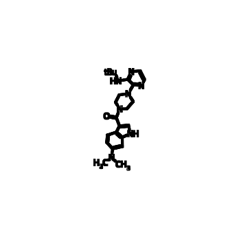 CN(C)c1ccc2c(C(=O)N3CCN(c4nccnc4NC(C)(C)C)CC3)c[nH]c2c1